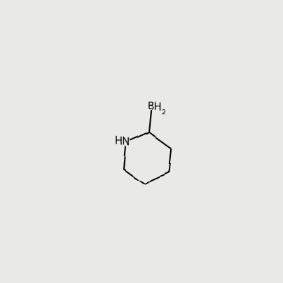 BC1CCCCN1